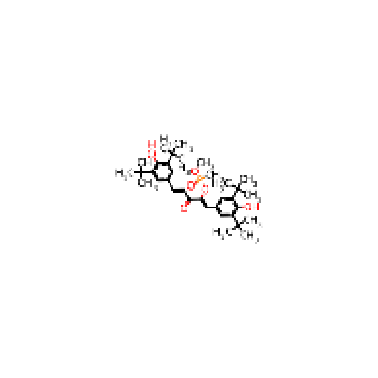 COP(C)(=O)OC(=Cc1cc(C(C)(C)C)c(O)c(C(C)(C)C)c1)C(=O)C=Cc1cc(C(C)(C)C)c(O)c(C(C)(C)C)c1